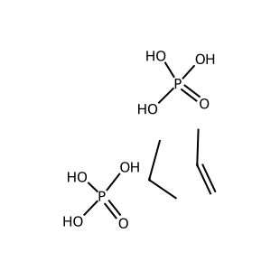 C=CC.CCC.O=P(O)(O)O.O=P(O)(O)O